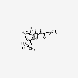 COCC(=O)NNC(=O)[C@@H](NC(=O)OC(C)(C)C)C(C)(C)C